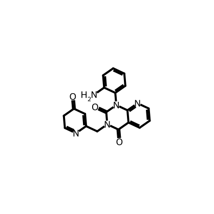 Nc1ccccc1-n1c(=O)n(CC2=CC(=O)CC=N2)c(=O)c2cccnc21